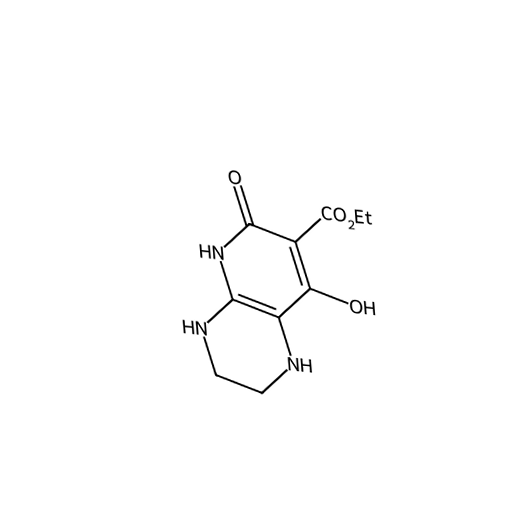 CCOC(=O)c1c(O)c2c([nH]c1=O)NCCN2